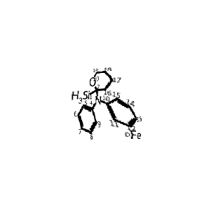 [Fe].[SiH3]C1(N(c2ccccc2)c2ccccc2)CCCCO1